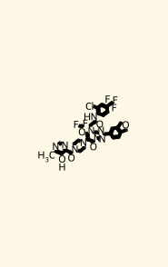 Cc1ncnc(C(=O)N2CCN(c3c(OC(F)F)n(CC(=O)Nc4ccc(C(F)(F)F)cc4Cl)c4nc(-c5ccc6c(c5)COC6)nn4c3=O)CC2)c1O